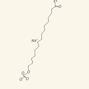 CCC(=O)CCCCCCCCCCCCCCCOS(=O)(=O)[O-].[Na+]